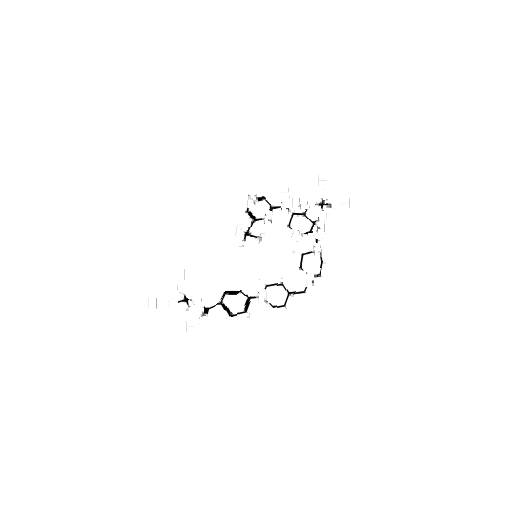 CC(C)(C)OC(=O)c1ccc(N2CCC(CN3CCN(C[C@H]4OC[C@H](Nc5cncc(C(F)(F)F)n5)[C@H]5OC(C)(C)O[C@H]54)CC3)CC2)cc1